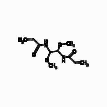 C=CC(=O)NC(OC)C(NC(=O)C=C)OC